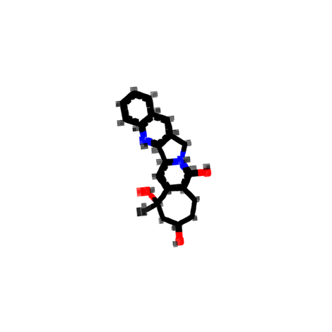 CCC1(O)CC(=O)CCc2c1cc1n(c2=O)Cc2cc3ccccc3nc2-1